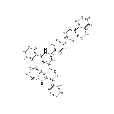 c1ccc(-c2ccc(C3N=C(c4ccc(-c5ccc6c(ccc7ccccc76)c5)cc4)NC(c4ccccc4)N3)c3c2oc2ccccc23)cc1